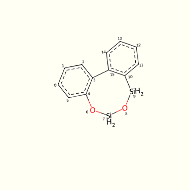 c1ccc2c(c1)O[SiH2]O[SiH2]c1ccccc1-2